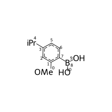 COc1cc(C(C)C)ccc1B(O)O